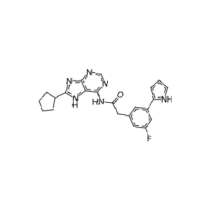 O=C(Cc1cc(F)cc(-c2ccc[nH]2)c1)Nc1ncnc2nc(C3CCCC3)[nH]c12